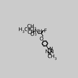 Cn1nnc(-c2ccc(OC/C(=C\F)CNC(=O)OC(C)(C)C)cc2)n1